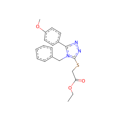 CCOC(=O)CSc1nnc(-c2ccc(OC)cc2)n1Cc1ccccc1